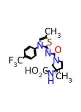 Cc1cn(-c2ccc(C(F)(F)F)cc2)/c(=N/C(=O)N2CC[C@@](C)(NC(=O)O)C2)s1